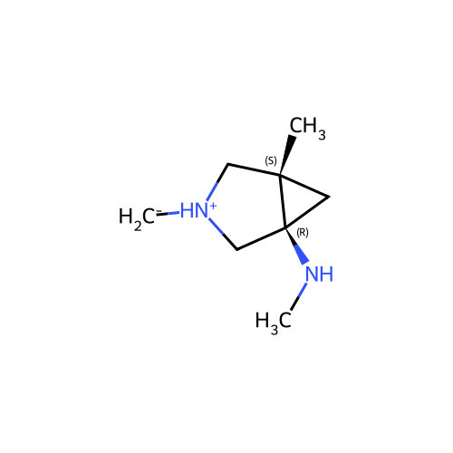 [CH2-][NH+]1C[C@]2(C)C[C@]2(NC)C1